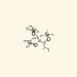 CCC(O[Si](C)(C)C)C(CO[Si](C)(C)C)O[Si](C)(C)C